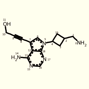 NCC1CC(n2cc(C#CCO)c3c(N)ncnc32)C1